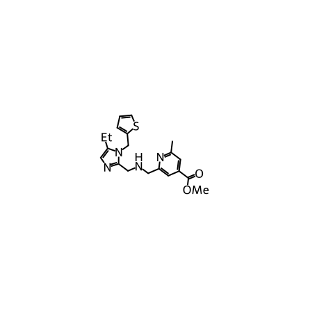 CCc1cnc(CNCc2cc(C(=O)OC)cc(C)n2)n1Cc1cccs1